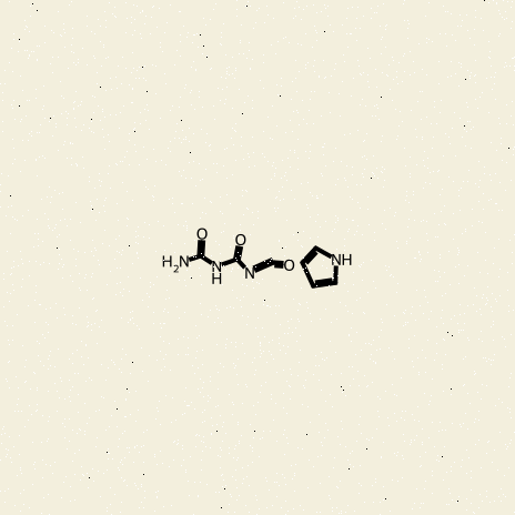 NC(=O)NC(=O)N=C=O.c1cc[nH]c1